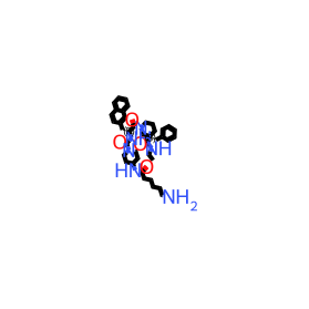 CCNC(=O)[C@]1(Cc2ccccc2)CCCN(C(=O)[C@@H](Cc2ccc3ccccc3c2)NC(=O)N2CCC(NC(=O)CCCCCN)CC2)C1